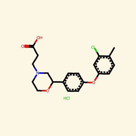 Cc1ccc(Oc2ccc(C3CN(CCC(=O)O)CCO3)cc2)cc1Cl.Cl